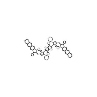 O=C1C(=Cc2cc3c(s2)-c2sc4c5c(sc4c2OC32CCCCC2)-c2sc(C=C3C(=O)c4cc6cc7ccccc7cc6cc4C3=O)cc2C2(CCCCC2)O5)C(=O)c2cc3cc4ccccc4cc3cc21